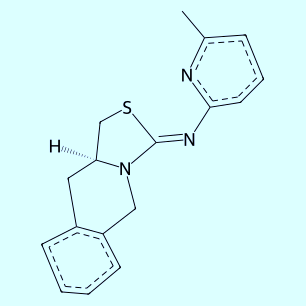 Cc1cccc(N=C2SC[C@@H]3Cc4ccccc4CN23)n1